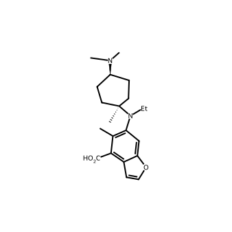 CCN(c1cc2occc2c(C(=O)O)c1C)[C@]1(C)CC[C@H](N(C)C)CC1